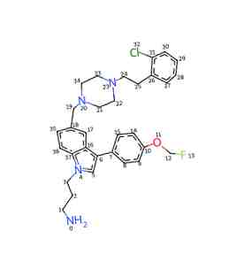 NCCCn1cc(-c2ccc(OCF)cc2)c2cc(CN3CCN(CCc4ccccc4Cl)CC3)ccc21